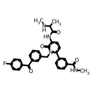 CNC(=O)c1cccc(-c2ccc(NC(=O)C(C)NC)c(=O)n2Cc2cccc(C(=O)c3ccc(F)cc3)c2)c1